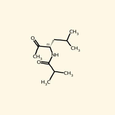 CC(=O)[C@H](CC(C)C)NC(=O)C(C)C